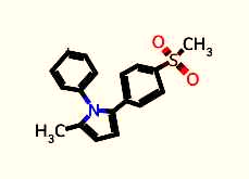 Cc1ccc(-c2ccc(S(C)(=O)=O)cc2)n1-c1cc[c]cc1